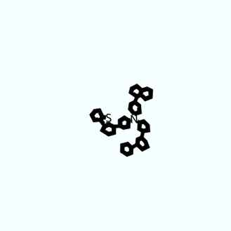 c1ccc(-c2cccc(-c3cccc(N(c4ccc(-c5cccc6ccccc56)cc4)c4ccc(-c5cccc6c5sc5ccccc56)cc4)c3)c2)cc1